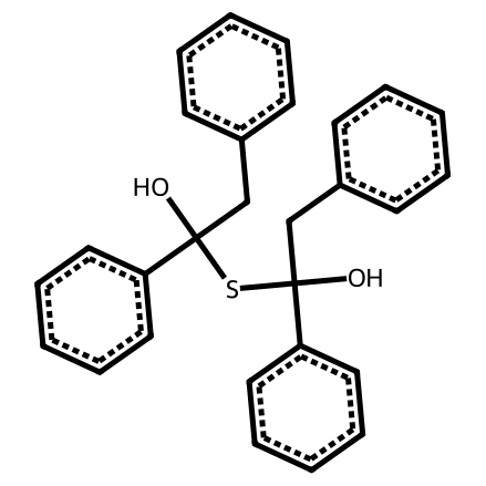 OC(Cc1ccccc1)(SC(O)(Cc1ccccc1)c1ccccc1)c1ccccc1